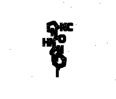 [C-]#[N+][C@@H]1CCCN1C(=O)Nc1cn2cc(I)ccc2n1